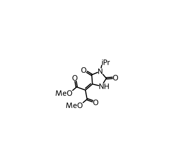 COC(=O)C(C(=O)OC)=C1NC(=O)N(C(C)C)C1=O